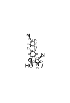 CCc1c(C#N)c(-c2ccc(Cc3cccc(C#N)c3)cc2)c(C(=O)O)n1C